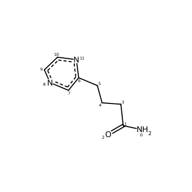 NC(=O)CCCc1cnccn1